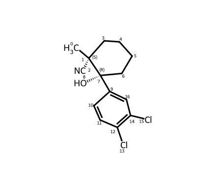 C[C@@]1(C#N)CCCC[C@@]1(O)c1ccc(Cl)c(Cl)c1